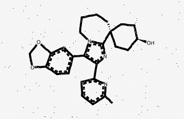 Cc1cccc(-c2nc3n(c2-c2ccc4c(c2)OCO4)CCCC[C@]32CC[C@H](O)CC2)n1